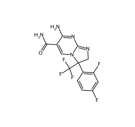 NC(=O)C1=CN2C(=NCC2(c2ccc(F)cc2F)C(F)(F)F)N=C1N